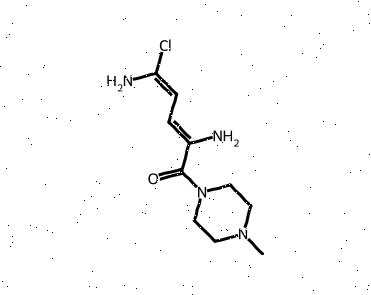 CN1CCN(C(=O)/C(N)=C/C=C(\N)Cl)CC1